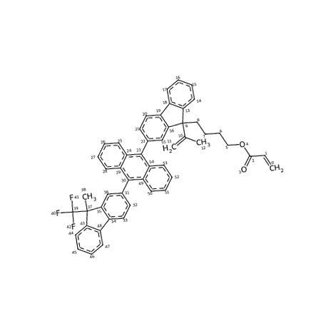 C=CC(=O)OCCCCC1(C(=C)C)c2ccccc2-c2ccc(-c3c4ccccc4c(-c4ccc5c(c4)C(C)(C(F)(F)F)c4ccccc4-5)c4ccccc34)cc21